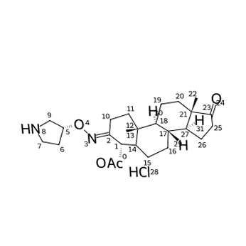 CC(=O)O[C@@H]1/C(=N/O[C@@H]2CCNC2)CC[C@@]2(C)C1CC[C@@H]1[C@@H]2CC[C@]2(C)C(=O)CC[C@@H]12.Cl